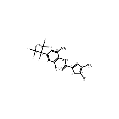 Cc1cc(C(F)(C(F)(F)F)C(F)(F)F)cc(C)c1NC(=O)c1cc(N)c(Br)s1